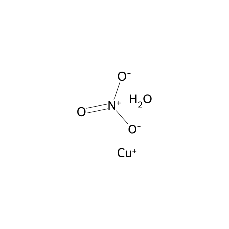 O.O=[N+]([O-])[O-].[Cu+]